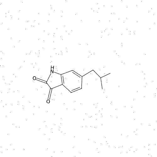 CC(C)Cc1ccc2c(c1)NC(=O)C2=O